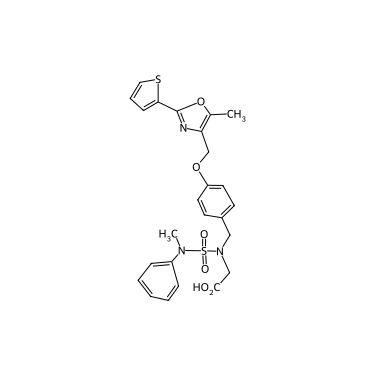 Cc1oc(-c2cccs2)nc1COc1ccc(CN(CC(=O)O)S(=O)(=O)N(C)c2ccccc2)cc1